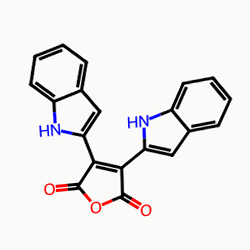 O=C1OC(=O)C(c2cc3ccccc3[nH]2)=C1c1cc2ccccc2[nH]1